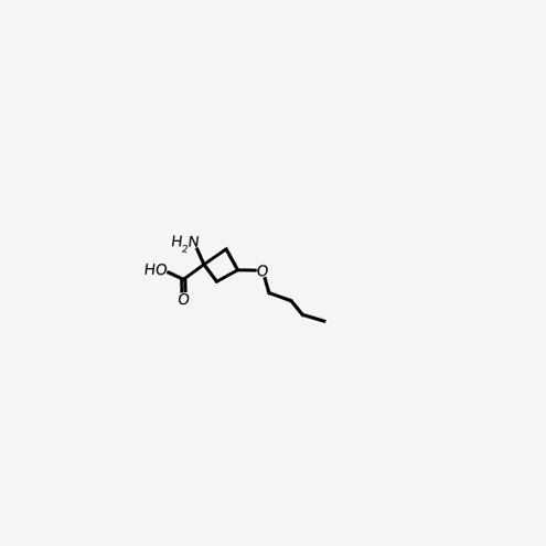 CCCCOC1CC(N)(C(=O)O)C1